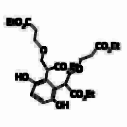 CCOC(=O)CCOCC(C(=O)OCC)c1c(O)ccc(O)c1C(COCCC(=O)OCC)C(=O)OCC